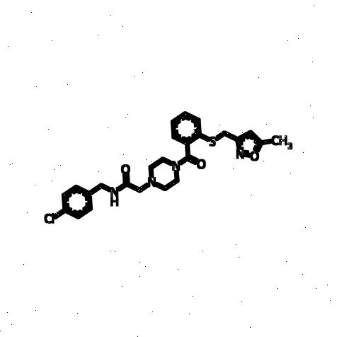 Cc1cc(CSc2ccccc2C(=O)N2CCN(CC(=O)NCc3ccc(Cl)cc3)CC2)no1